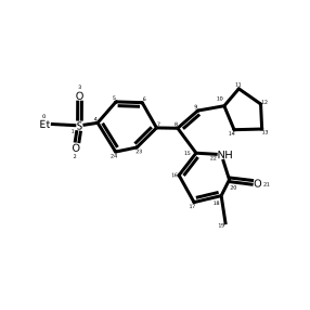 CCS(=O)(=O)c1ccc(/C(=C/C2CCCC2)c2ccc(C)c(=O)[nH]2)cc1